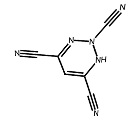 N#CC1=CC(C#N)=NN(C#N)N1